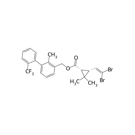 Cc1c(COC(=O)[C@@H]2[C@H](C=C(Br)Br)C2(C)C)cccc1-c1ccccc1C(F)(F)F